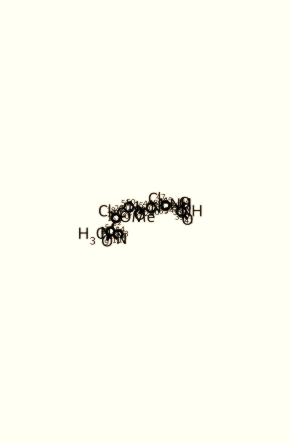 COc1cc(-c2cn(C)c(=O)c3cnccc23)cc(Cl)c1CC1CCN(CC(=O)C2CCN(c3ccc(NC4CCC(=O)NC4=O)cc3Cl)CC2)CC1